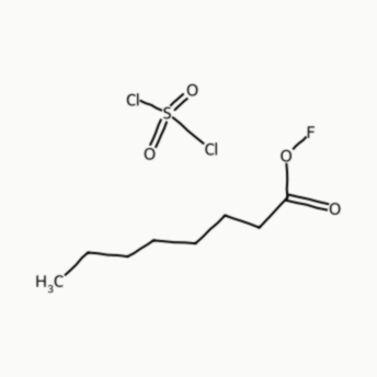 CCCCCCCC(=O)OF.O=S(=O)(Cl)Cl